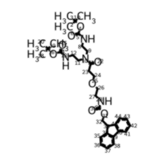 CC(C)(C)OC(=O)NCCN(CCNC(=O)OC(C)(C)C)C(=O)CCOCCNC(=O)OCC1c2ccccc2-c2ccccc21